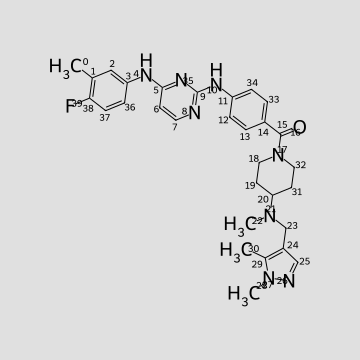 Cc1cc(Nc2ccnc(Nc3ccc(C(=O)N4CCC(N(C)Cc5cnn(C)c5C)CC4)cc3)n2)ccc1F